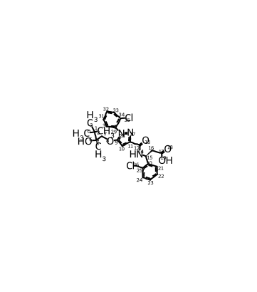 CC(C)(C)[C@](C)(O)COc1cc(C(=O)N[C@@H](CC(=O)O)c2ccccc2Cl)nn1-c1ccccc1Cl